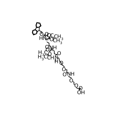 CC(C)(C)OC(=O)[C@H](CCC(=O)NCCOCCOCC(=O)NCCOCCOCC(=O)O)NC(=O)CC[C@H](NC(=O)OCC1c2ccccc2-c2ccccc21)C(=O)OC(C)(C)C